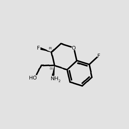 N[C@]1(CO)c2cccc(F)c2OC[C@@H]1F